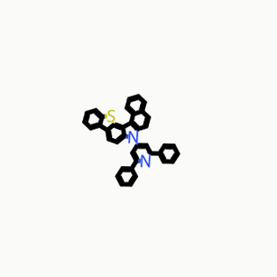 c1ccc(-c2cc(-n3c4ccc5ccccc5c4c4c5sc6ccccc6c5ccc43)cc(-c3ccccc3)n2)cc1